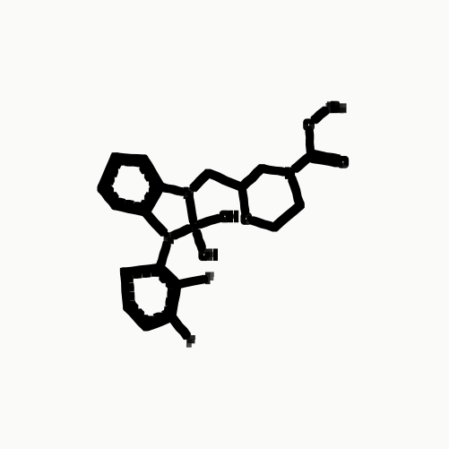 CC(C)(C)OC(=O)N1CCOC(CN2c3ccccc3N(c3cccc(F)c3F)S2(O)O)C1